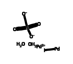 O.O.O=S(=O)([O-])[O-].[Pd+2].[Pd][I]